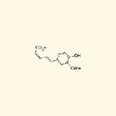 COc1cc(/C=C/C=C\C(=O)O)ccc1O